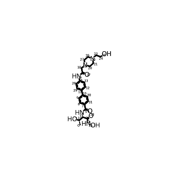 C[C@@H](O)[C@H](NC(=O)c1ccc(-c2ccc(NC(=O)CN3CCN(CCO)CC3)cc2)cc1)C(=O)NO